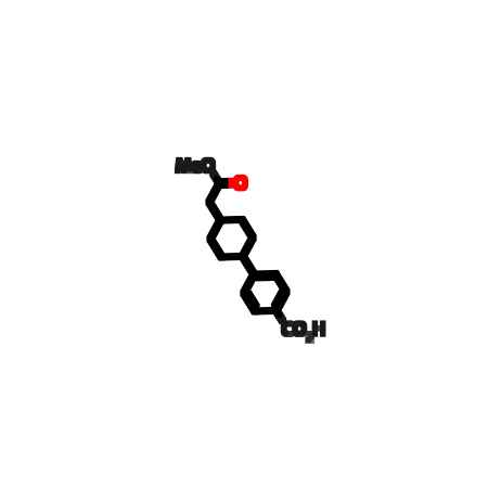 COC(=O)CC1CCC(c2ccc(C(=O)O)cc2)CC1